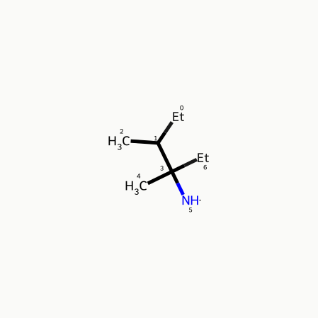 CCC(C)C(C)([NH])CC